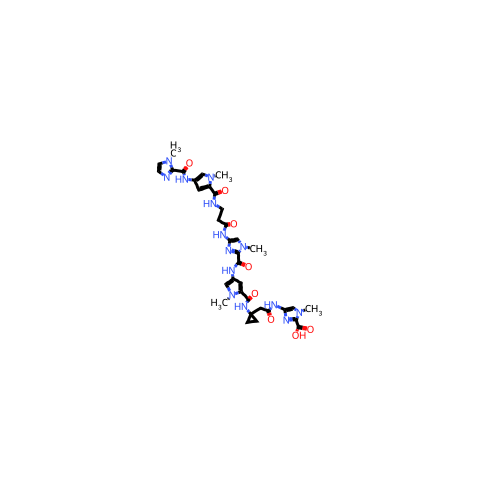 Cn1cc(NC(=O)c2nccn2C)cc1C(=O)NCCC(=O)Nc1cn(C)c(C(=O)Nc2cc(C(=O)NC3(CC(=O)Nc4cn(C)c(C(=O)O)n4)CC3)n(C)c2)n1